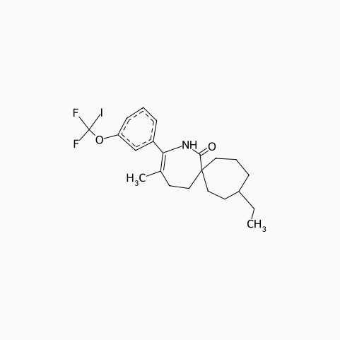 CCC1CCCC2(CCC(C)=C(c3cccc(OC(F)(F)I)c3)NC2=O)CC1